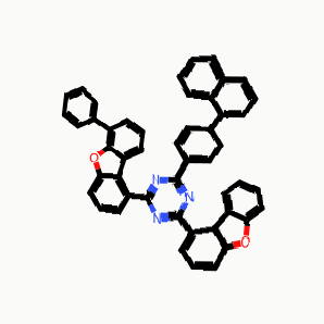 C1=CC2Oc3ccccc3C2C(c2nc(C3=CCC(c4cccc5ccccc45)C=C3)nc(-c3cccc4oc5c(-c6ccccc6)cccc5c34)n2)=C1